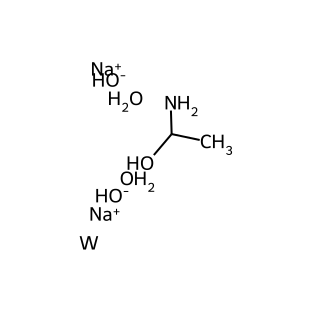 CC(N)O.O.O.[Na+].[Na+].[OH-].[OH-].[W]